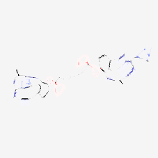 C=C1\C=C/C(C2=NC2)=C(C)/C=C\c2ccc(OC(=O)CCCCC(=O)Oc3ccc4c(C)c3/C=C\C(=C)\C=C/C(C3=NC3)=C(C)/C=C\4)c(c2C)/C=C\1